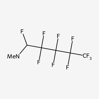 CNC(F)C(F)(F)C(F)(F)C(F)(F)C(F)(F)F